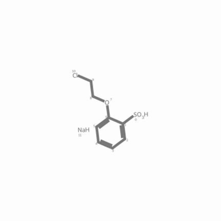 O=S(=O)(O)c1ccccc1OCCCl.[NaH]